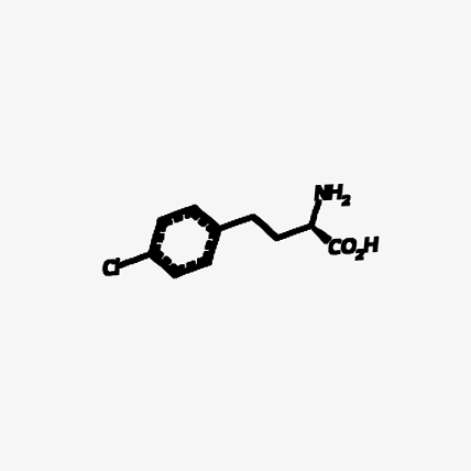 N[C@H](CCc1ccc(Cl)cc1)C(=O)O